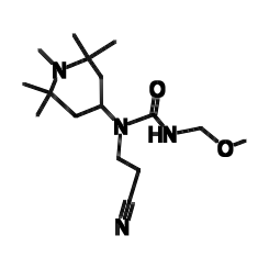 COCNC(=O)N(CCC#N)C1CC(C)(C)N(C)C(C)(C)C1